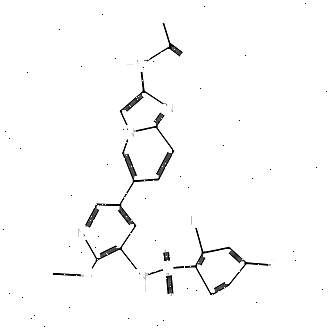 COc1ncc(-c2ccc3nc(NC(C)=O)cn3c2)cc1NS(=O)(=O)c1ccc(F)cc1F